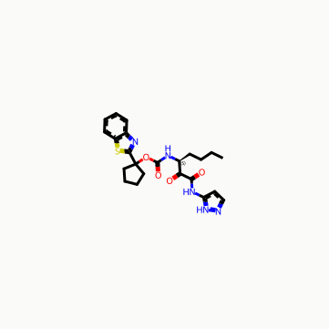 CCCC[C@H](NC(=O)OC1(c2nc3ccccc3s2)CCCC1)C(=O)C(=O)Nc1ccn[nH]1